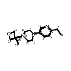 CCc1ccc(N2CCN(C3(C)COC3)CC2)cn1